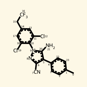 Cc1ccc(-c2c(C#N)nn(-c3c(Cl)cc(CC(F)(F)F)cc3Cl)c2N)cc1